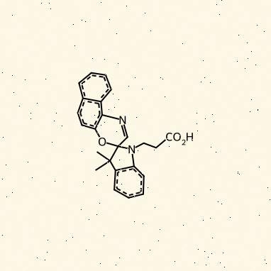 CC1(C)c2ccccc2N(CCC(=O)O)C12C=Nc1c(ccc3ccccc13)O2